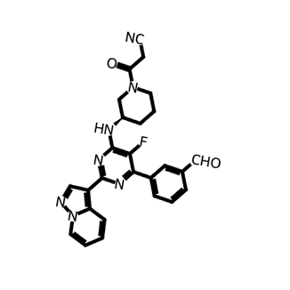 N#CCC(=O)N1CCC[C@@H](Nc2nc(-c3cnn4ccccc34)nc(-c3cccc(C=O)c3)c2F)C1